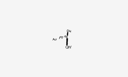 [Au].[OH][Ni][OH].[Pt]